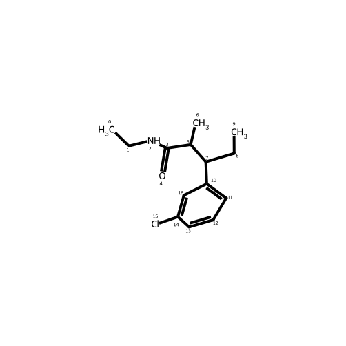 CCNC(=O)C(C)C(CC)c1cccc(Cl)c1